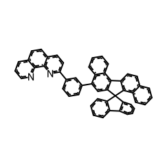 c1cc(-c2ccc3ccc4cccnc4c3n2)cc(-c2cc3c(c4ccccc24)-c2ccc4ccccc4c2C32c3ccccc3-c3ccccc32)c1